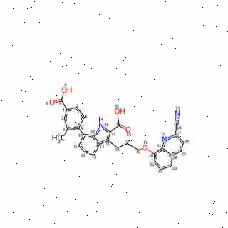 Cc1cc(C(=O)O)ccc1-c1cccc2c(CCCOc3cccc4ccc(C#N)nc34)c(C(=O)O)[nH]c12